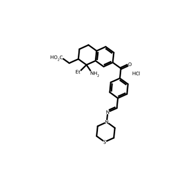 CCC1(N)c2cc(C(=O)c3ccc(C=NN4CCSCC4)cc3)ccc2CCC1CC(=O)O.Cl